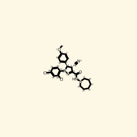 COc1ccc([C@H]2[C@H](C#N)C(C(=O)NN3CCCCCC3)=NN2c2ccc(Cl)cc2Cl)cc1